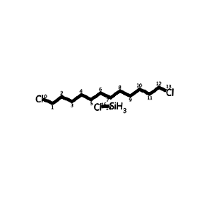 ClCCCCCCCCCCCCCl.[SiH3]Cl